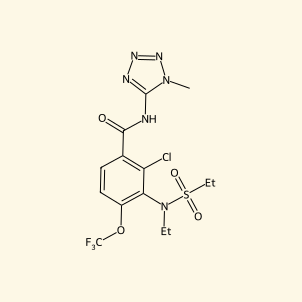 CCN(c1c(OC(F)(F)F)ccc(C(=O)Nc2nnnn2C)c1Cl)S(=O)(=O)CC